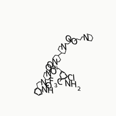 Nc1c(Cl)cc(C[C@@H](OC(=O)N2CCC(N3CCc4ccccc4NC3=O)CC2)C(=O)N2CCC(C3CCN(CCC(=O)OCCCN4CCCCC4)CC3)CC2)cc1C(F)(F)F